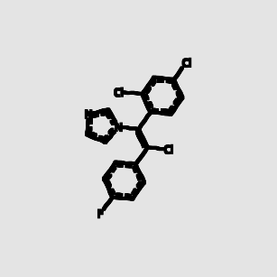 Fc1ccc(/C(Cl)=C(/c2ccc(Cl)cc2Cl)n2ccnc2)cc1